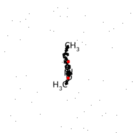 CCCCCOc1cnc(-c2ccc([C@H]3CC[C@H]([C@H]4CC[C@H](CCCCC)CC4)CC3)cc2)nc1